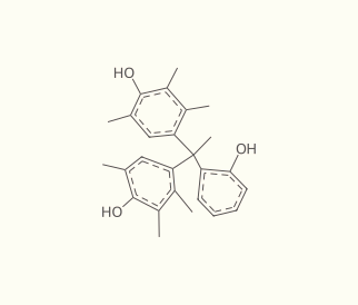 Cc1cc(C(C)(c2ccccc2O)c2cc(C)c(O)c(C)c2C)c(C)c(C)c1O